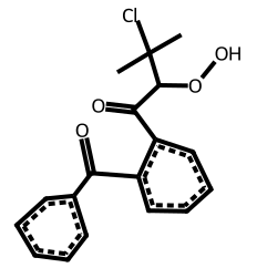 CC(C)(Cl)C(OO)C(=O)c1ccccc1C(=O)c1ccccc1